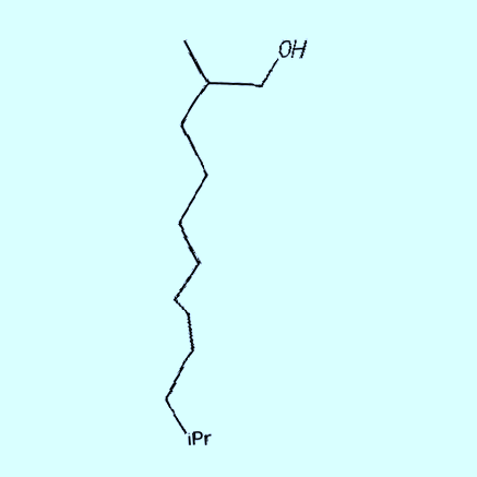 CC(C)CCCCCCCC(C)CO